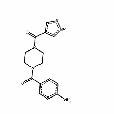 Nc1ccc(C(=O)N2CCN(C(=O)c3cn[nH]c3)CC2)cc1